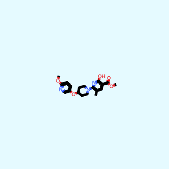 COC(=O)c1cc(C)c(N2CCC(Oc3ccc(OC)nc3)CC2)nc1O